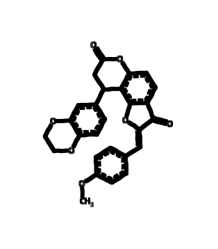 COc1ccc(C=C2Oc3c(ccc4c3C(c3ccc5c(c3)OCCO5)CC(=O)O4)C2=O)cc1